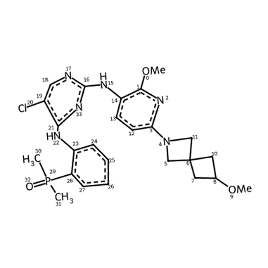 COc1nc(N2CC3(CC(OC)C3)C2)ccc1Nc1ncc(Cl)c(Nc2ccccc2P(C)(C)=O)n1